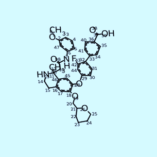 COc1cccc(NC(=O)C[C@@]2(C)NCCc3cc(OCC4CCCCO4)c(Oc4ccc(-c5ccc(C(=O)O)cc5)c(F)c4)cc32)c1